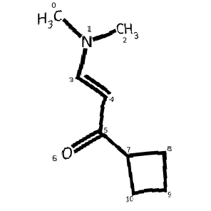 CN(C)C=CC(=O)C1CCC1